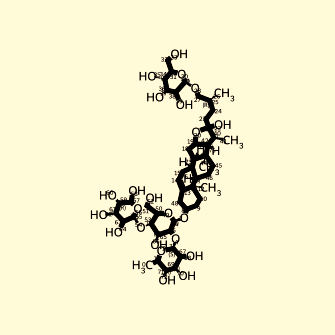 CC1O[C@@H](OC2[C@H](OC3CC[C@@]4(C)C(=CC[C@H]5[C@@H]6CC7OC(O)(CC[C@@H](C)CO[C@@H]8OC(CO)[C@@H](O)[C@H](O)C8O)[C@@H](C)[C@@H]7[C@@]6(C)CC[C@@H]54)C3)OC(CO)[C@@H](O[C@@H]3OC(O)[C@H](O)[C@H](O)C3O)[C@@H]2O)C(O)[C@@H](O)[C@H]1O